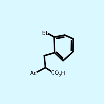 CCc1ccccc1CC(C(C)=O)C(=O)O